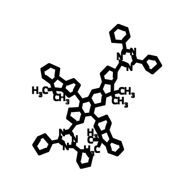 CC1(C)c2ccccc2-c2ccc(-c3c4ccc(-c5nc(-c6ccccc6)nc(-c6ccccc6)n5)cc4c(-c4ccc5c(c4)C(C)(C)c4ccccc4-5)c4cc5c(cc34)-c3ccc(-c4nc(-c6ccccc6)nc(-c6ccccc6)n4)cc3C5(C)C)cc21